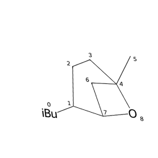 CCC(C)C1CCC2(C)CC1O2